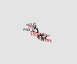 O=C(O)CC(O)(CC(=O)O[C@@]1(O)CO[C@@H]2[C@H](O)CO[C@@H]21)C(=O)O